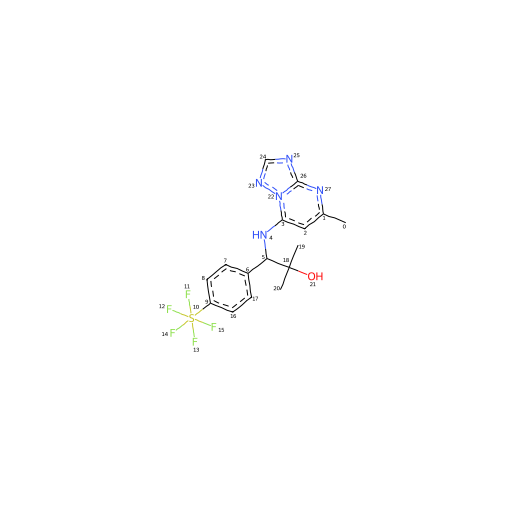 Cc1cc(NC(c2ccc(S(F)(F)(F)(F)F)cc2)C(C)(C)O)n2ncnc2n1